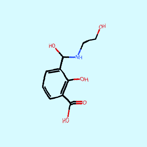 O=C(O)c1cccc(C(O)NCCO)c1O